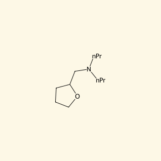 CCCN(CCC)CC1CCCO1